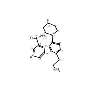 CCCc1ccc(N2CCNCC2)cc1.N[S+]([O-])c1ccccc1